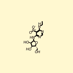 CCNc1ncnc(NC2O[C@H](CO)[C@@H](O)[C@H]2O)c1[N+](=O)[O-]